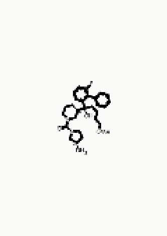 COCCCC[C@@](O)(c1cccc(F)c1-c1ccccc1)[C@@H]1CCCN(C(=O)N2CC[C@H](N)C2)C1